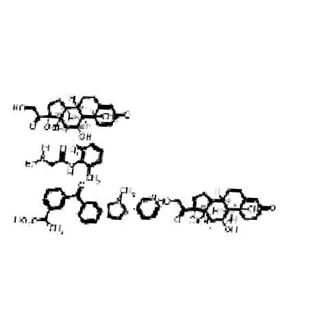 CC(C(=O)O)c1cccc(C(=O)c2ccccc2)c1.CCN(CC)CC(=O)Nc1c(C)cccc1C.CN1CCC[C@H]1c1cccnc1.C[C@]12C=CC(=O)C=C1CC[C@@H]1[C@@H]2[C@@H](O)C[C@@]2(C)[C@H]1CC[C@]2(O)C(=O)CO.C[C@]12CCC(=O)C=C1CC[C@@H]1[C@@H]2[C@@H](O)C[C@@]2(C)[C@H]1CC[C@]2(O)C(=O)CO